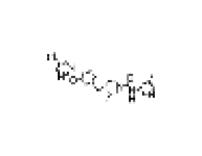 Cc1cncc(NC(=O)N2CCC(=Cc3cccc(Oc4ncc(Cl)cn4)c3)C(C)C2)c1